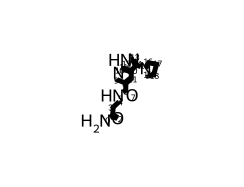 NC(=O)CCNC(=O)c1cnc2[nH]nc(N3CCCC3)c2c1